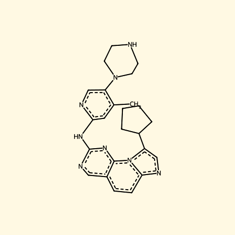 Cc1cc(Nc2ncc3ccc4ncc(C5CCCC5)n4c3n2)ncc1N1CCNCC1